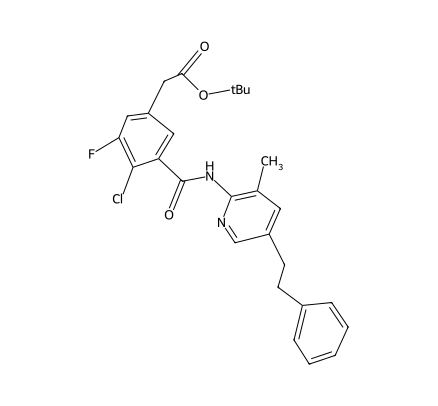 Cc1cc(CCc2ccccc2)cnc1NC(=O)c1cc(CC(=O)OC(C)(C)C)cc(F)c1Cl